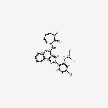 CN1C=CC=C[C@H](Nc2nc3ccccc3c3nc(-c4ccc(Cl)cc4OC(F)F)nn23)C1=O